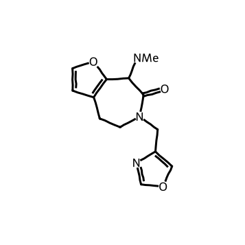 CNC1C(=O)N(Cc2cocn2)CCc2ccoc21